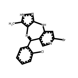 Cc1[nH]nc2c1N=C(c1ccccc1Cl)c1cnc(Br)cc1N2